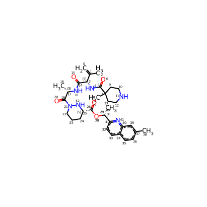 C=C(C)[C@H](NC(=O)C1(C)CCNCC1)C(=O)N[C@@H](C)C(=O)N1CCC[C@@H](C(=O)O[C@H](C)c2ccc3ccc(C)cc3n2)N1